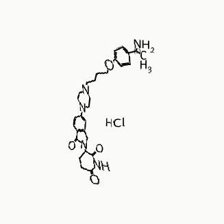 C[C@H](N)c1ccc(OCCCCN2CCN(c3ccc4c(c3)CN(C3CCC(=O)NC3=O)C4=O)CC2)cc1.Cl